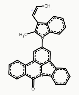 C/C=C\c1c(C)n(-c2cc3c4ccccc4c(=O)n4c5ccccc5c(c2)c34)c2ccccc12